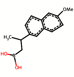 COc1ccc2cc(C(C)CB(O)O)ccc2c1